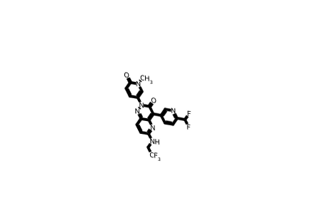 Cn1cc(-n2nc3ccc(NCC(F)(F)F)nc3c(-c3ccc(C(F)F)nc3)c2=O)ccc1=O